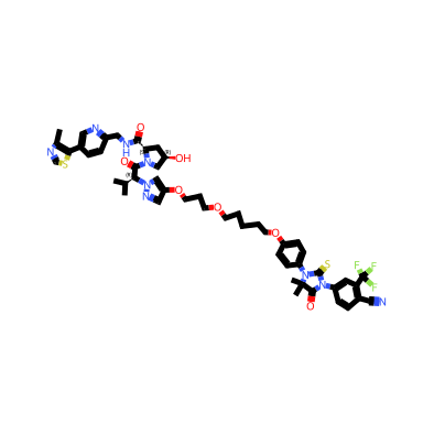 Cc1ncsc1-c1ccc(CNC(=O)[C@@H]2C[C@@H](O)CN2C(=O)[C@@H](C(C)C)n2cc(OCCCOCCCCCOc3ccc(N4C(=S)N(c5ccc(C#N)c(C(F)(F)F)c5)C(=O)C4(C)C)cc3)cn2)nc1